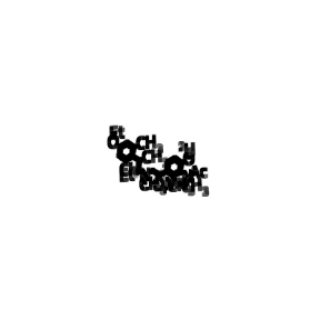 [2H]Oc1ccc([C@H](CN(C)[C@H](CC)C(C)c2c(C)cc(OCC)cc2C)OC)c(C)c1N(C)C(C)=O